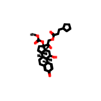 CCCOC(=O)O[C@]1(C(=O)COC(=O)CCC2CCCC2)CC[C@H]2[C@@H]3CCC4=CC(=O)C=C[C@]4(C)[C@H]3C(O)C[C@@]21C